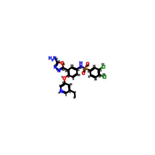 CCc1cncc(Oc2ccc(NS(=O)(=O)c3ccc(Cl)c(Cl)c3)cc2-c2nnc(N)o2)c1